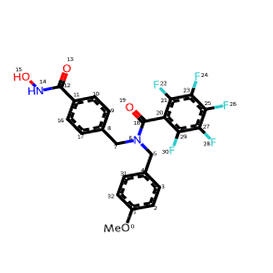 COc1ccc(CN(Cc2ccc(C(=O)NO)cc2)C(=O)c2c(F)c(F)c(F)c(F)c2F)cc1